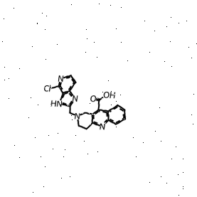 O=C(O)c1c2c(nc3ccccc13)CCN(Cc1nc3ccnc(Cl)c3[nH]1)C2